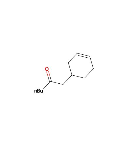 CCCCC(=O)CC1CC=CCC1